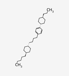 CCCCC[C@H]1CC[C@H](CCCCc2ccc([C@H]3CC[C@H](CCC)CC3)cc2)CC1